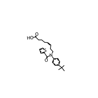 CC(C)(C)c1ccc(N(CC/C=C\CCCC(=O)O)C(=O)c2cccs2)cc1